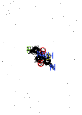 CSc1cc(C#N)ccc1C1NC(=O)N(c2cccc(CF)c2)C2=C1C(=O)CC2